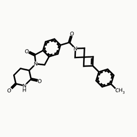 Cc1ccc(C2=CC3(C2)CN(C(=O)c2ccc4c(c2)CN(C2CCC(=O)NC2=O)C4=O)C3)cc1